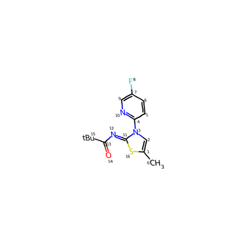 Cc1cn(-c2ccc(F)cn2)c(=NC(=O)C(C)(C)C)s1